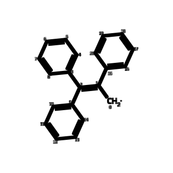 [CH2]C(=C(c1ccccc1)c1ccccc1)c1ccccc1